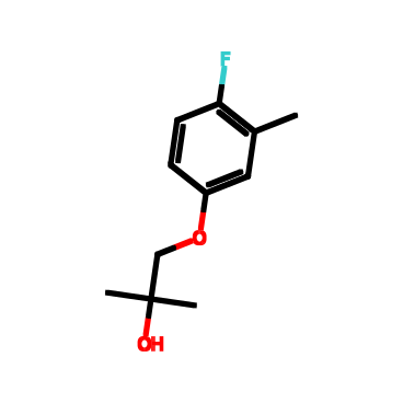 Cc1cc(OCC(C)(C)O)ccc1F